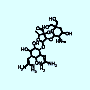 CNC1C(O)CC(CO)(CO)O[C@@H]1O[C@@H]1C(O[C@H]2C(O)C(O)[C@H](C=C(N)N)C(O)C2N=C(N)N)O[C@@H](C)C1(O)C=O